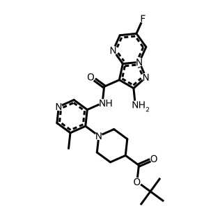 Cc1cncc(NC(=O)c2c(N)nn3cc(F)cnc23)c1N1CCC(C(=O)OC(C)(C)C)CC1